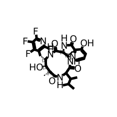 CC(C)C(C)C1NC(=O)[C@H](C)[C@H](O)[C@H](Cc2c(F)nc(F)c(F)c2F)NC(=O)[C@@H](NC(=O)c2ncccc2O)[C@@H](C)NC1=O